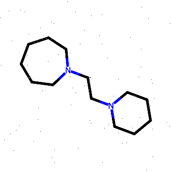 [CH](CN1CCCCC1)N1CCCCCC1